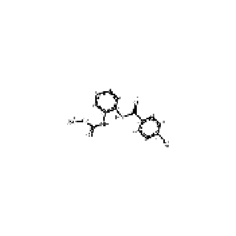 CC(C)(C)OC(=O)Nc1ccccc1NC(=O)c1ccc(Br)cc1